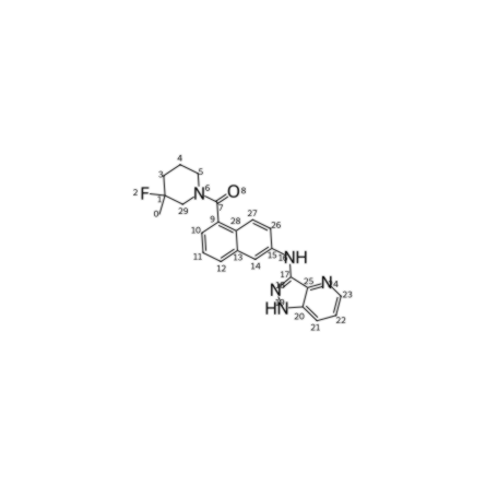 CC1(F)CCCN(C(=O)c2cccc3cc(Nc4n[nH]c5cccnc45)ccc23)C1